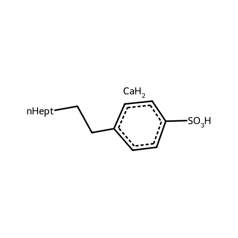 CCCCCCCCCc1ccc(S(=O)(=O)O)cc1.[CaH2]